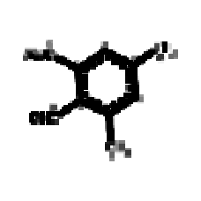 COc1cc(C(F)(F)F)cc(C)c1C=O